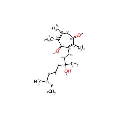 CCC(C)CCCC(C)(O)CCC1=C(C)C(=O)CC(C)=C(C)C1=O